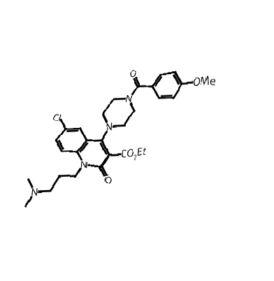 CCOC(=O)c1c(N2CCN(C(=O)c3ccc(OC)cc3)CC2)c2cc(Cl)ccc2n(CCCN(C)C)c1=O